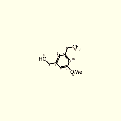 COc1cc(CO)nc(CC(F)(F)F)n1